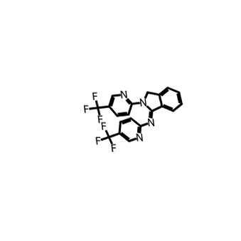 FC(F)(F)c1ccc(/N=C2/c3ccccc3CN2c2ccc(C(F)(F)F)cn2)nc1